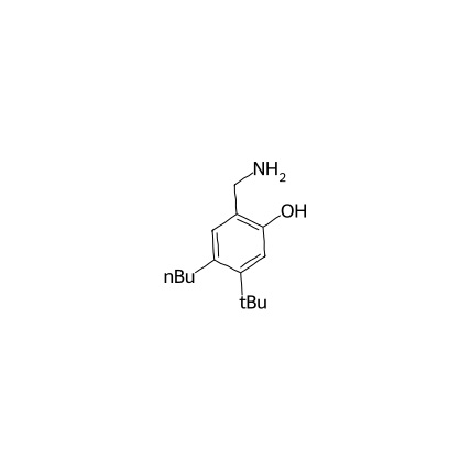 CCCCc1cc(CN)c(O)cc1C(C)(C)C